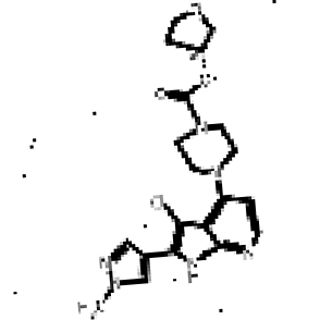 Cn1cc(-c2[nH]c3nccc(N4CCN(C(=O)O[C@@H]5CCOC5)CC4)c3c2Cl)cn1